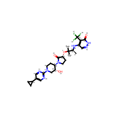 [2H]C([2H])(O[C@@H]1CCN([C@@H]2CCN(c3ncc(C4CC4)cn3)C[C@H]2O)C1=O)[C@H](C)Nc1cn[nH]c(=O)c1C(F)(F)F